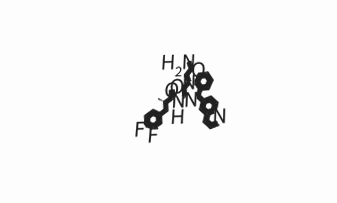 C[C@@H](Cc1ccc(F)c(F)c1)C(=O)NC1N=C(c2ccc3ncccc3c2)c2ccccc2N(CC(N)=O)C1=O